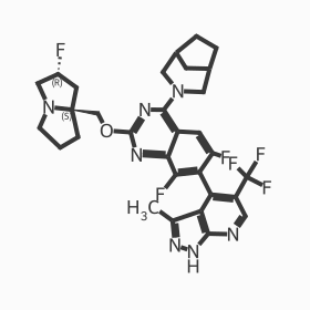 Cc1n[nH]c2ncc(C(F)(F)F)c(-c3c(F)cc4c(N5CC6CCC(C6)C5)nc(OC[C@@]56CCCN5C[C@H](F)C6)nc4c3F)c12